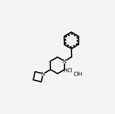 Cl.Cl.c1ccc(CN2CCC(N3CCC3)CC2)cc1